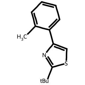 Cc1ccccc1-c1csc(C(C)(C)C)n1